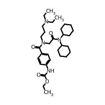 CCOC(=O)Nc1ccc(C(=O)N(CCCN(CC)CC)CC(=O)N(C2CCCCC2)C2CCCCC2)cc1